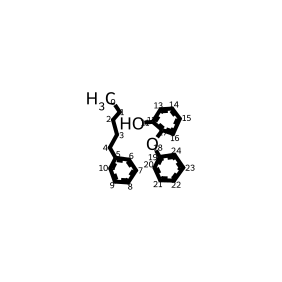 CCCCCc1ccccc1.Oc1ccccc1Oc1ccccc1